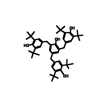 CC(C)(C)c1cc(Cc2cc(Cc3cc(C(C)(C)C)c(O)c(C(C)(C)C)c3)c(O)c(Cc3cc(C(C)(C)C)c(O)c(C(C)(C)C)c3)c2)cc(C(C)(C)C)c1O